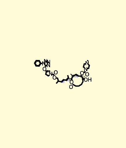 C/C(=C\C=C\C(C)COC(=O)N1CC[C@H](Oc2nnnn2-c2ccccc2)C1)[C@H]1OC(=O)CCCC[C@](C)(O)[C@@H](OC(=O)N2CCN(C)CC2)/C=C/[C@@H]1C